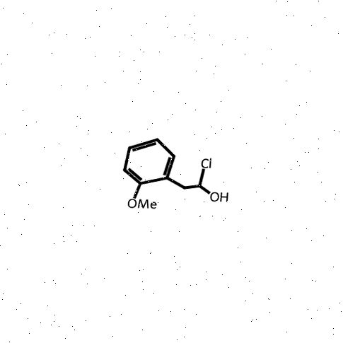 COc1ccccc1CC(O)Cl